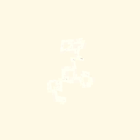 C[C@@H](NCC1CCN(c2cccc(C(=O)O)c2)CC1c1ccccc1)c1csc2ccccc12